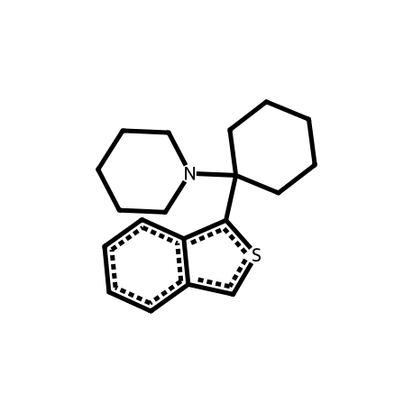 c1ccc2c(C3(N4CCCCC4)CCCCC3)scc2c1